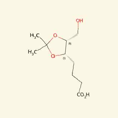 CC1(C)O[C@@H](CCCC(=O)O)[C@@H](CO)O1